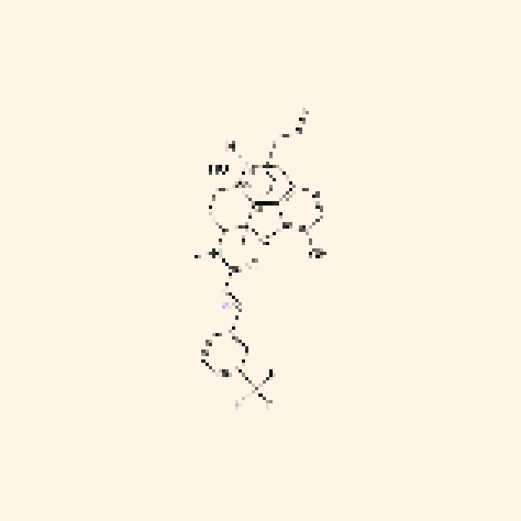 C=CCN1CC[C@]23c4c5ccc(O)c4OC2(C)C(N(C)C(=O)/C=C/c2cccc(C(F)(F)F)c2)CC[C@@]3(O)[C@H]1C5